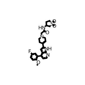 COc1ccc(F)cc1-c1ccnc2[nH]c(C3=CCN(CC(=O)NC4CCS(=O)(=O)C4)CC3)cc12